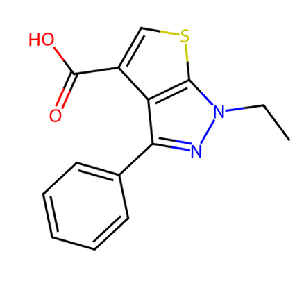 CCn1nc(-c2ccccc2)c2c(C(=O)O)csc21